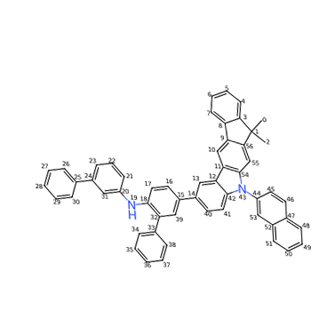 CC1(C)c2ccccc2-c2cc3c4cc(-c5ccc(Nc6cccc(-c7ccccc7)c6)c(-c6ccccc6)c5)ccc4n(-c4ccc5ccccc5c4)c3cc21